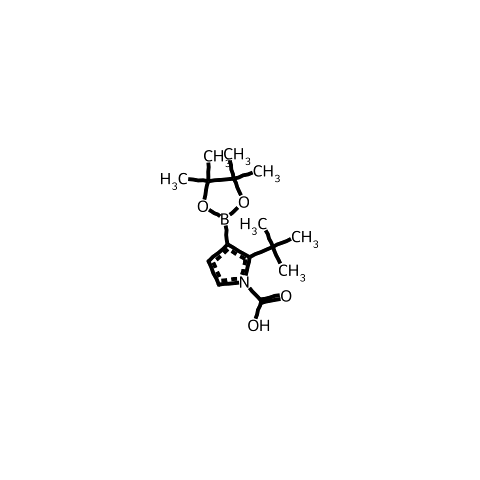 CC(C)(C)c1c(B2OC(C)(C)C(C)(C)O2)ccn1C(=O)O